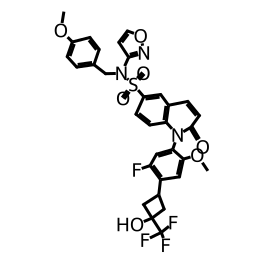 COc1ccc(CN(c2ccon2)S(=O)(=O)c2ccc3c(ccc(=O)n3-c3cc(F)c(C4CC(O)(C(F)(F)F)C4)cc3OC)c2)cc1